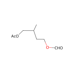 CC(=O)OCC(C)CCOC=O